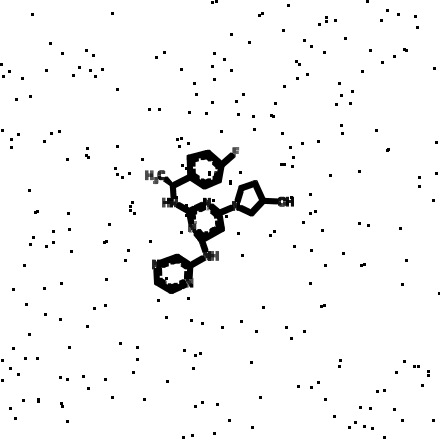 C[C@H](Nc1nc(Nc2cnccn2)cc(N2CCC(O)C2)n1)c1ccc(F)cc1